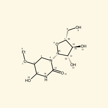 CCOC1CN([C@@H]2O[C@H](CO)[C@@H](O)[C@@H]2O)C(=O)NC1O